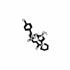 C/N=c1\sc([N+]2(C(=O)CCS(=O)(=O)/C=C/c3ccc(Cl)cc3)CCCCC2)cn1C